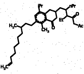 C=CCCCCCCC(C)CCc1cc(C(C)C)c2c(c1C)C(=O)CC(CC(CCC)C(CC)C(=O)CC(C)=O)C2